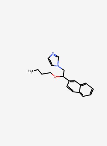 CCCCOC(Cn1ccnc1)c1ccc2ccccc2c1